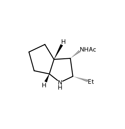 CC[C@@H]1N[C@@H]2CCC[C@@H]2[C@@H]1NC(C)=O